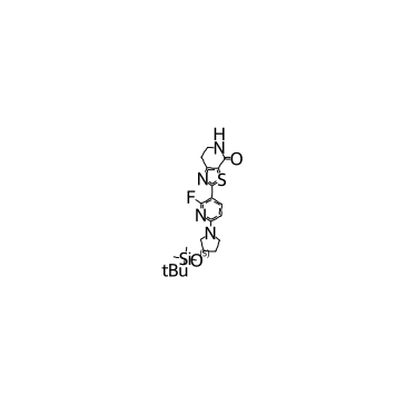 CC(C)(C)[Si](C)(C)O[C@H]1CCN(c2ccc(-c3nc4c(s3)C(=O)NCC4)c(F)n2)C1